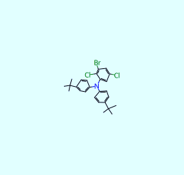 CC(C)(C)c1ccc(N(c2ccc(C(C)(C)C)cc2)c2cc(Cl)cc(Br)c2Cl)cc1